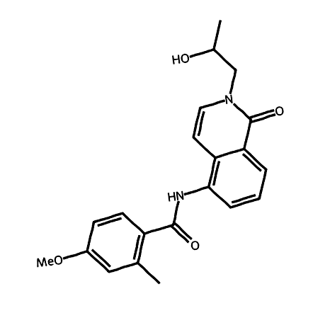 COc1ccc(C(=O)Nc2cccc3c(=O)n(CC(C)O)ccc23)c(C)c1